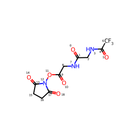 O=C(CNC(=O)C(F)(F)F)NCC(=O)ON1C(=O)CCC1=O